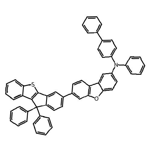 c1ccc(-c2ccc(N(c3ccccc3)c3ccc4oc5cc(-c6ccc7c(c6)-c6sc8ccccc8c6C7(c6ccccc6)c6ccccc6)ccc5c4c3)cc2)cc1